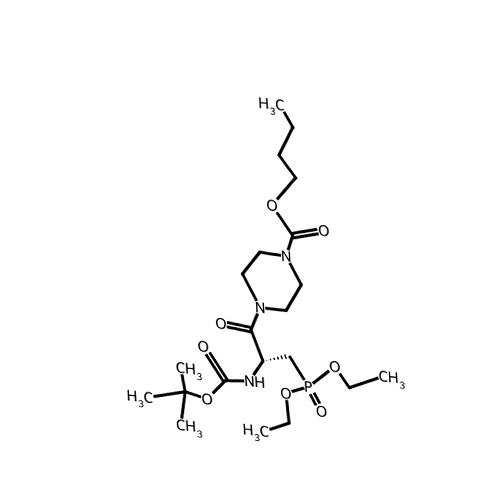 CCCCOC(=O)N1CCN(C(=O)[C@H](CP(=O)(OCC)OCC)NC(=O)OC(C)(C)C)CC1